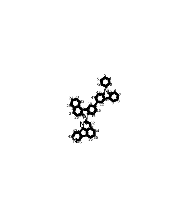 c1ccc(-n2c3ccccc3c3cc(-c4ccc5c(c4)c4c6ccccc6ccc4n5-c4cc5cccc6c5c(n4)-c4ccncc4-6)ccc32)cc1